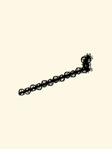 COCCOCCOCCOCCOCCOCCOCCOCCOCCOCCOCCOC1(C(C)C)CCN(C(=O)OC(C)(C)C)CC1